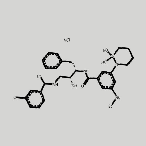 CCNc1cc(C(=O)N[C@@H](Cc2ccccc2)[C@H](O)CNC(CC)c2cccc(Cl)c2)cc(N2CCCCS2(O)O)c1.Cl